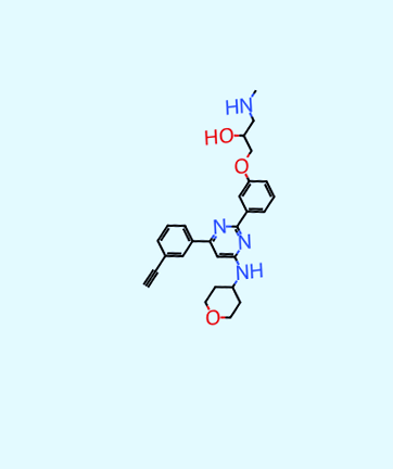 C#Cc1cccc(-c2cc(NC3CCOCC3)nc(-c3cccc(OCC(O)CNC)c3)n2)c1